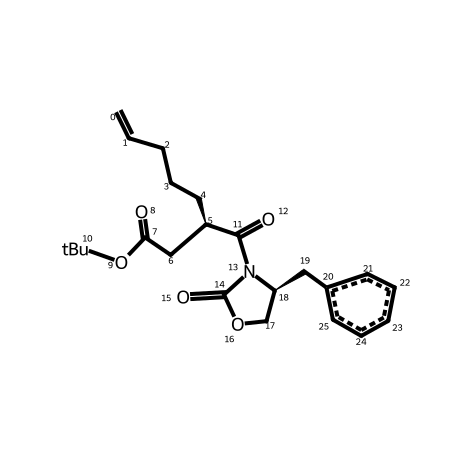 C=CCCC[C@H](CC(=O)OC(C)(C)C)C(=O)N1C(=O)OC[C@@H]1Cc1ccccc1